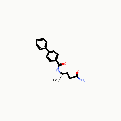 NC(=O)CC[C@@H](NC(=O)c1ccc(-c2ccccc2)cc1)C(=O)O